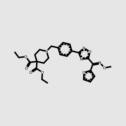 CCOC(=O)C1(C(=O)OCC)CCN(Cc2ccc(-c3noc(C(=NOC)c4ccco4)n3)cc2)CC1